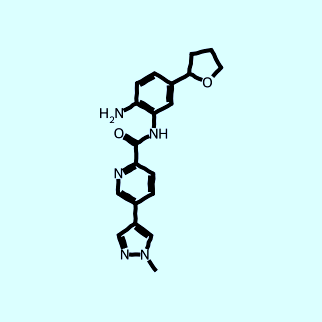 Cn1cc(-c2ccc(C(=O)Nc3cc(C4CCCO4)ccc3N)nc2)cn1